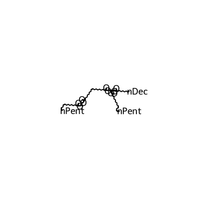 CCCCC/C=C\C/C=C\CCCCCCCC(=O)OC(C)COC(=O)CCCCCCC/C=C\CCCCCCCC(=O)OCC(COC(=O)CCCCCCCCCCCCCCCCC)OC(=O)CCCCCCC/C=C\C/C=C\CCCCC